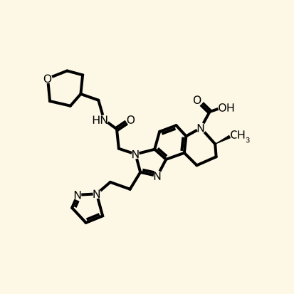 C[C@H]1CCc2c(ccc3c2nc(CCn2cccn2)n3CC(=O)NCC2CCOCC2)N1C(=O)O